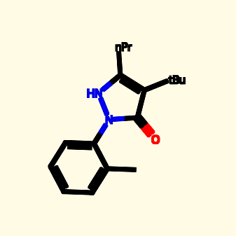 CCCc1[nH]n(-c2ccccc2C)c(=O)c1C(C)(C)C